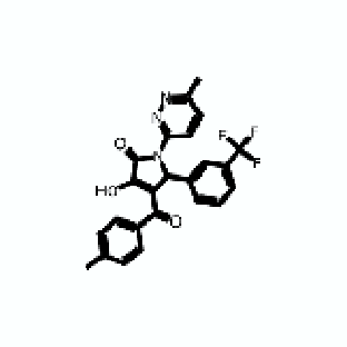 Cc1ccc(C(=O)C2=C(O)C(=O)N(c3ccc(C)nn3)C2c2cccc(C(F)(F)F)c2)cc1